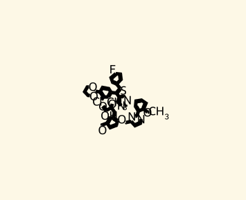 COc1ccccc1-c1nccc(COc2ccc(C=O)cc2CC(Oc2ncnc3sc(-c4ccc(F)cc4)c(-c4ccc(C5OCCCO5)c(Cl)c4C)c23)C(=O)O)n1